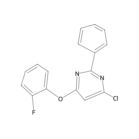 Fc1ccccc1Oc1cc(Cl)nc(-c2ccccc2)n1